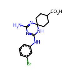 NC1=NC2(CCC(C(=O)O)CC2)NC(Nc2cccc(Br)c2)=N1